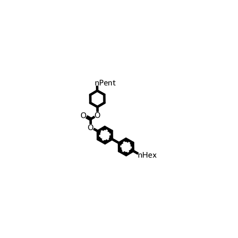 CCCCCCc1ccc(-c2ccc(OC(=O)OC3CCC(CCCCC)CC3)cc2)cc1